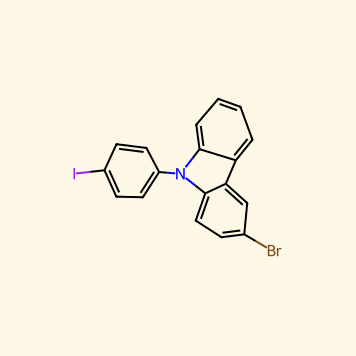 Brc1ccc2c(c1)c1ccccc1n2-c1ccc(I)cc1